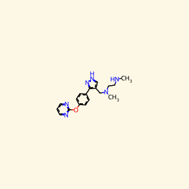 CNCCN(C)Cc1c[nH]nc1-c1ccc(Oc2ncccn2)cc1